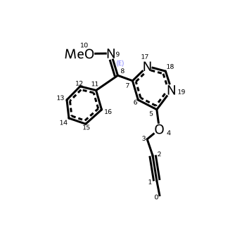 CC#CCOc1cc(/C(=N/OC)c2ccccc2)ncn1